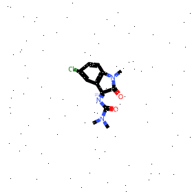 CN(C)C(=O)/N=C1\C(=O)N(C)c2ccc(Cl)cc21